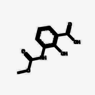 COC(=O)Nc1cccc(C(=O)O)c1O